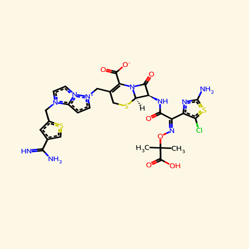 CC(C)(O/N=C(\C(=O)N[C@@H]1C(=O)N2C(C(=O)[O-])=C(C[n+]3ccc4n(Cc5cc(C(=N)N)cs5)ccn43)CS[C@H]12)c1nc(N)sc1Cl)C(=O)O